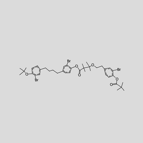 CC(C)(C)Oc1ccc(CCCCc2ccc(OC(=O)C(C)(C)C(C)(C)OCCc3ccc(OC(=O)C(C)(C)C)c(Br)c3)c(Br)c2)cc1Br